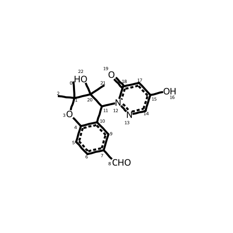 CC1(C)Oc2ccc(C=O)cc2C(n2ncc(O)cc2=O)C1(C)O